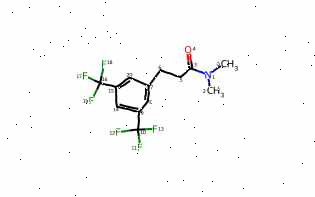 CN(C)C(=O)CCc1cc(C(F)(F)F)cc(C(F)(F)F)c1